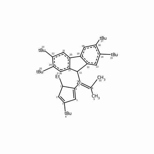 CCC1C=C(C(C)(C)C)C=[C]1[Zr](=[C](C)C)[CH]1c2cc(C(C)(C)C)c(C(C)(C)C)cc2-c2cc(C(C)(C)C)c(C(C)(C)C)cc21